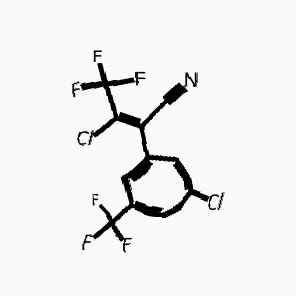 N#CC(=C(Cl)C(F)(F)F)c1cc(Cl)cc(C(F)(F)F)c1